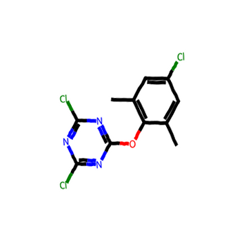 Cc1cc(Cl)cc(C)c1Oc1nc(Cl)nc(Cl)n1